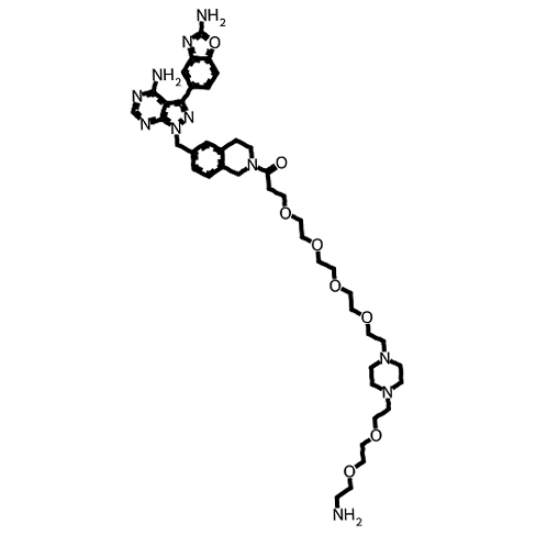 NCCOCCOCCN1CCN(CCOCCOCCOCCOCCC(=O)N2CCc3cc(Cn4nc(-c5ccc6oc(N)nc6c5)c5c(N)ncnc54)ccc3C2)CC1